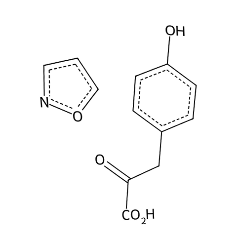 O=C(O)C(=O)Cc1ccc(O)cc1.c1cnoc1